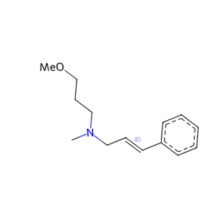 COCCCN(C)C/C=C/c1ccccc1